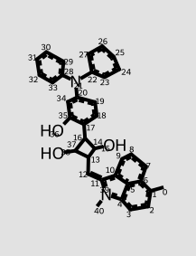 Cc1ccc2c3c1cccc3/c(=C\C1C(O)C(c3ccc(N(c4ccccc4)c4ccccc4)cc3O)C1O)n2C